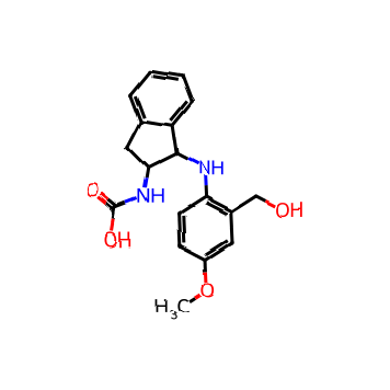 COc1ccc(NC2c3ccccc3CC2NC(=O)O)c(CO)c1